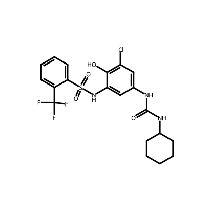 O=C(Nc1cc(Cl)c(O)c(NS(=O)(=O)c2ccccc2C(F)(F)F)c1)NC1CCCCC1